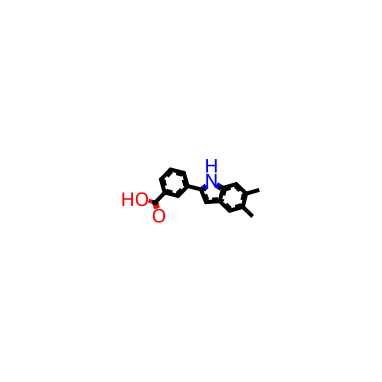 Cc1cc2cc(-c3cccc(C(=O)O)c3)[nH]c2cc1C